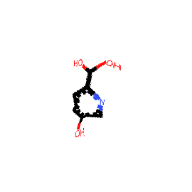 Oc1ccc(C(O)O)nc1